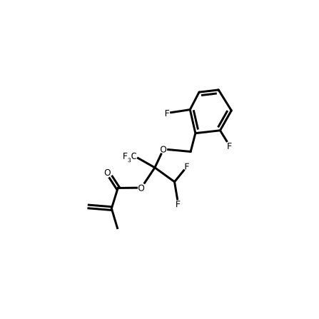 C=C(C)C(=O)OC(OCc1c(F)cccc1F)(C(F)F)C(F)(F)F